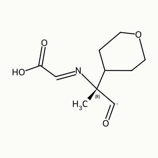 C[C@@]([C]=O)(N=CC(=O)O)C1CCOCC1